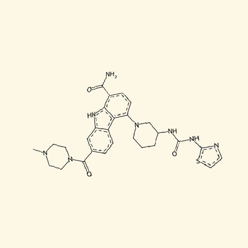 CN1CCN(C(=O)c2ccc3c(c2)[nH]c2c(C(N)=O)ccc(N4CCCC(NC(=O)Nc5nccs5)C4)c23)CC1